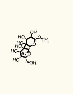 CO[C@H]1O[C@H](CO)[C@](O)([C@@]2(O)CO[C@H](CO)[C@H](O)[C@@H]2O)[C@H](O)[C@H]1O